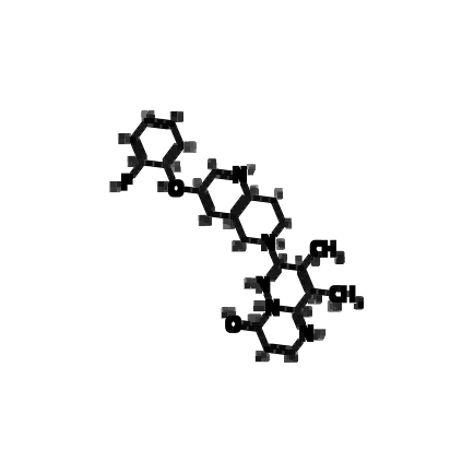 Cc1c(N2CCc3ncc(Oc4ccccc4F)cc3C2)nn2c(=O)ccnc2c1C